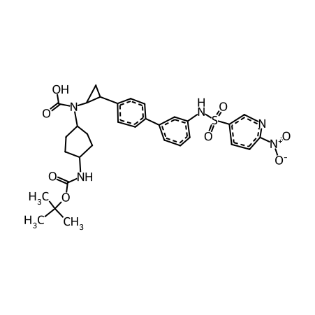 CC(C)(C)OC(=O)NC1CCC(N(C(=O)O)C2CC2c2ccc(-c3cccc(NS(=O)(=O)c4ccc([N+](=O)[O-])nc4)c3)cc2)CC1